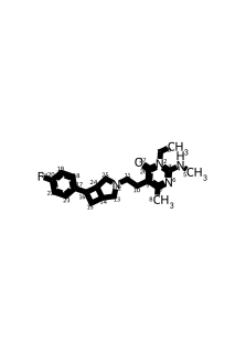 CCn1c(NC)nc(C)c(CCN2CC3CC(c4ccc(F)cc4)C3C2)c1=O